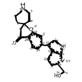 O=C1CC2(CCNCC2)Oc2cc(-c3c[nH]c4nc(CO)ccc34)ccc21